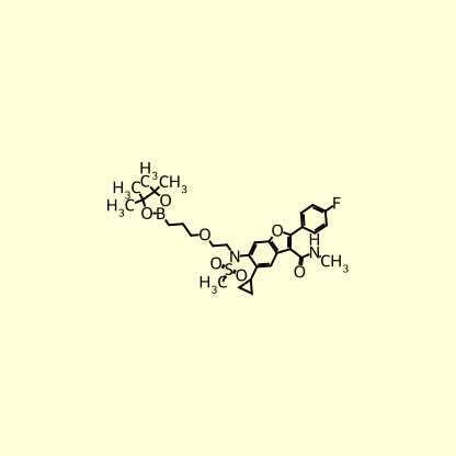 CNC(=O)c1c(-c2ccc(F)cc2)oc2cc(N(CCOCCCB3OC(C)(C)C(C)(C)O3)S(C)(=O)=O)c(C3CC3)cc12